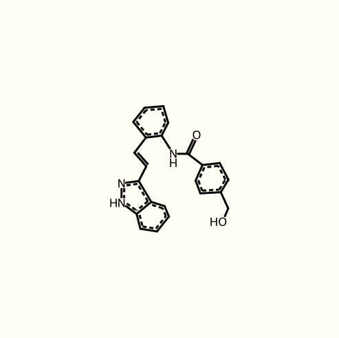 O=C(Nc1ccccc1C=Cc1n[nH]c2ccccc12)c1ccc(CO)cc1